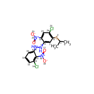 CC(C)Sc1cc(NNc2cccc(Cl)c2[N+](=O)[O-])c([N+](=O)[O-])cc1Cl